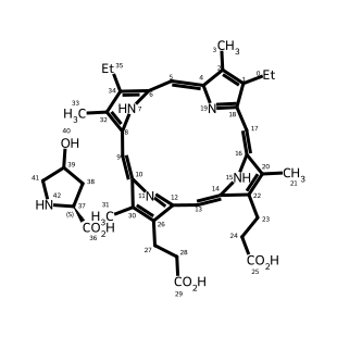 CCC1=C(C)c2cc3[nH]c(cc4nc(cc5[nH]c(cc1n2)c(C)c5CCC(=O)O)C(CCC(=O)O)=C4C)c(C)c3CC.O=C(O)[C@@H]1CC(O)CN1